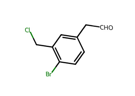 O=CCc1ccc(Br)c(CCl)c1